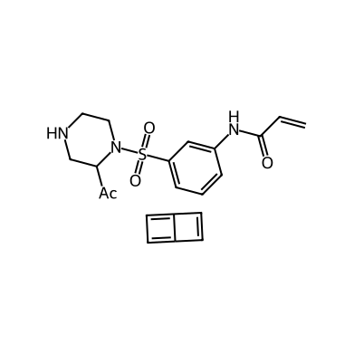 C=CC(=O)Nc1cccc(S(=O)(=O)N2CCNCC2C(C)=O)c1.c1cc2ccc1-2